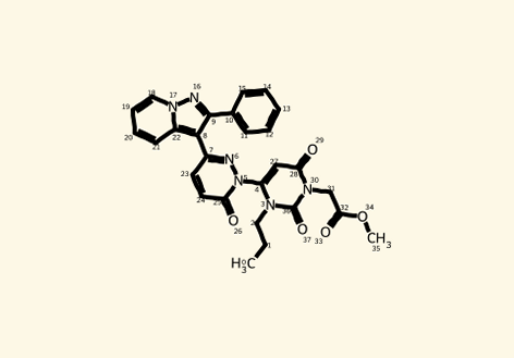 CCCn1c(-n2nc(-c3c(-c4ccccc4)nn4ccccc34)ccc2=O)cc(=O)n(CC(=O)OC)c1=O